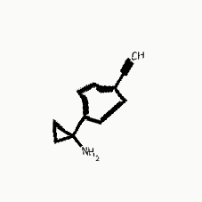 C#Cc1ccc(C2(N)CC2)cc1